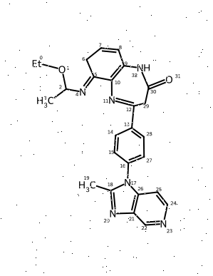 CCOC(C)N=C1CC=CC2=C1N=C(c1ccc(-n3c(C)nc4cnccc43)cc1)CC(=O)N2